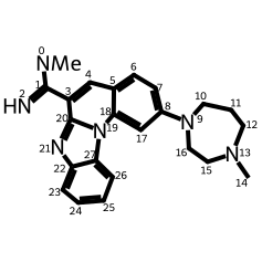 CNC(=N)c1cc2ccc(N3CCCN(C)CC3)cc2n2c1nc1ccccc12